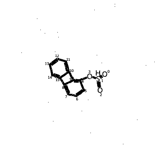 O=[SH](=O)Oc1cccc2c1-c1ccccc1-2